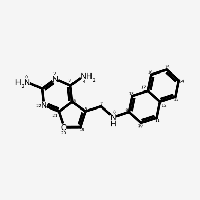 Nc1nc(N)c2c(CNc3ccc4ccccc4c3)coc2n1